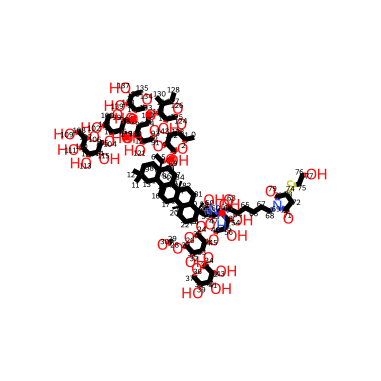 CC1OC(OC(C)[C@]23CCC(C)(C)CC2C2=CCC4[C@@]5(C)CC[C@H](OC6OC(OC=O)C(O)C(OC7OCC(O)C(O)C7O)C6OC6OC(CO)C(O)C(O)C6O)[C@@](C)(/C=N/NC(=O)CCCCCN6C(=O)CC(SCCO)C6=O)C5CC[C@@]4(C)[C@]2(C)C[C@H]3O)C(OC2OC(C)C(OC3OCC(O)C(OC4OC(CO)C(O)C(O)C4O)C3O)C(O)C2O)CC1OC1OC(C)C(C)C(OC2OCC(O)C(O)C2O)C1O